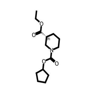 CCOC(=O)[C@@H]1CCCN(C(=O)OC2CCCC2)C1